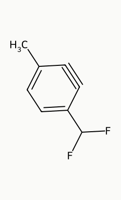 Cc1c#cc(C(F)F)cc1